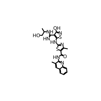 Cc1cc2ccccc2nc1NC(=O)c1sc(Nc2snc(O)c2C(=N)NC(C)CO)nc1C